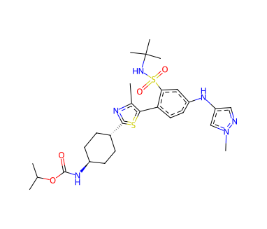 Cc1nc([C@H]2CC[C@H](NC(=O)OC(C)C)CC2)sc1-c1ccc(Nc2cnn(C)c2)cc1S(=O)(=O)NC(C)(C)C